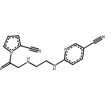 N#Cc1ccc(NCCNCC(=N)n2cccc2C#N)nc1